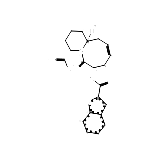 O=C(N[C@H]1CC=CC[C@H]2CCC[C@@H](C(=O)O)N2C1=O)c1cc2ccccc2s1